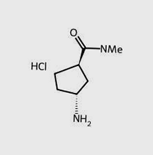 CNC(=O)[C@@H]1CC[C@@H](N)C1.Cl